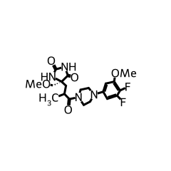 COC[C@]1(CC(C)C(=O)N2CCN(c3cc(F)c(F)c(OC)c3)CC2)NC(=O)NC1=O